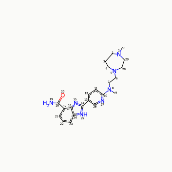 CN1CCCN(CCN(C)c2ccc(-c3nc4c(C(N)=O)cccc4[nH]3)cn2)CC1